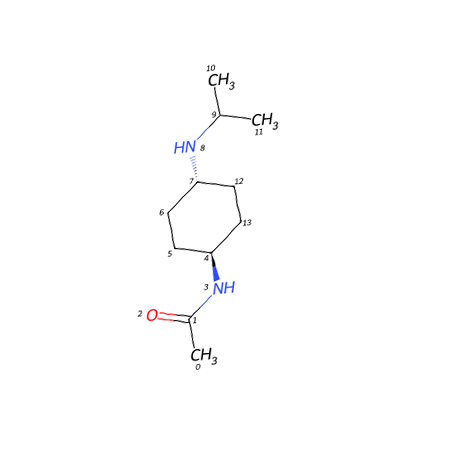 CC(=O)N[C@H]1CC[C@H](NC(C)C)CC1